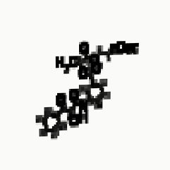 CCCCCCCCCCCCOC(=O)C(C)OC(=O)c1cccc(NC(=O)C(Cl)C(=O)c2ccccc2)c1